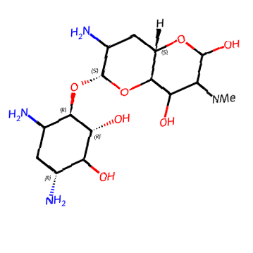 CNC1C(O)O[C@H]2CC(N)[C@@H](O[C@@H]3C(N)C[C@@H](N)C(O)[C@H]3O)OC2C1O